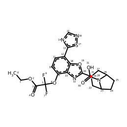 CCOC(=O)C(F)(F)Oc1ccc(-c2ncns2)c2oc(N3CC4CCC(C3)N4C(=O)O)nc12